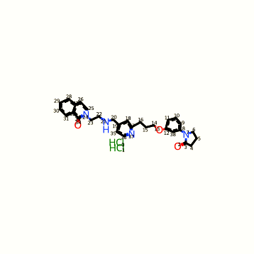 Cl.Cl.O=C1CCCN1c1cccc(OCCCc2cc(CNCCn3ccc4ccccc4c3=O)ccn2)c1